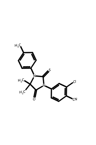 Cc1ccc(N2C(=S)N(c3ccc(C#N)c(Cl)c3)C(=O)C2(C)C)cc1